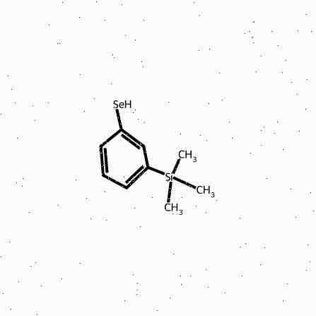 C[Si](C)(C)c1cccc([SeH])c1